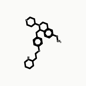 COc1ccc2c(c1)CCN(C1CCOCC1)C2Cc1ccc(OCCC2CCCCN2)cc1